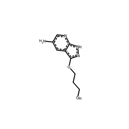 Nc1cnc2[nH]nc(OCCCO)c2c1